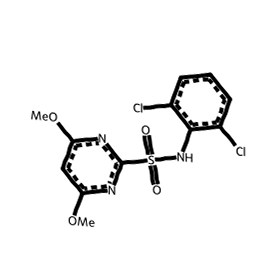 COc1cc(OC)nc(S(=O)(=O)Nc2c(Cl)cccc2Cl)n1